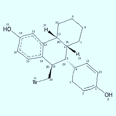 OC1=CCC([C@H]2[C@H]3CCCC[C@H]3c3cc(O)ccc3[C@@H]2CBr)C=C1